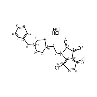 Cl.Cl.O=C1C(=O)N(CCN2CCN(Cc3ccccc3)CC2)c2c(Cl)ccc(Cl)c21